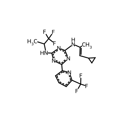 CC(=CC1CC1)Nc1nc(NC(C)C(F)(F)F)nc(-c2cccc(C(F)(F)F)n2)n1